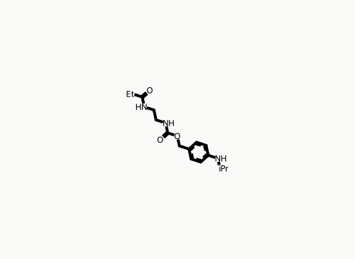 CCC(=O)NCCNC(=O)OCc1ccc(NC(C)C)cc1